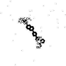 CC(C)(C)OC(=O)N1CCC[C@H]1c1ncc(-c2ccc(-c3ccc4cc(B5OC(C)(C)C(C)(C)O5)ccc4c3)cc2)[nH]1